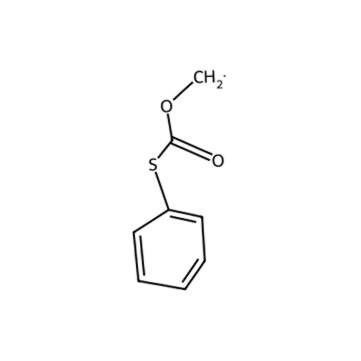 [CH2]OC(=O)Sc1ccccc1